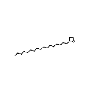 CCCCCCCCCCCC[CH]CCCCC1CCO1